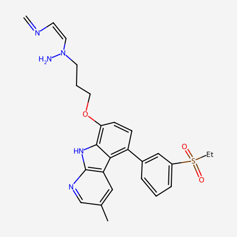 C=N/C=C\N(N)CCCOc1ccc(-c2cccc(S(=O)(=O)CC)c2)c2c1[nH]c1ncc(C)cc12